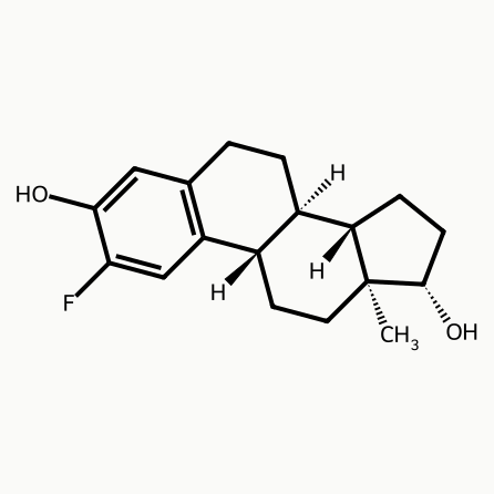 C[C@]12CC[C@@H]3c4cc(F)c(O)cc4CC[C@H]3[C@@H]1CC[C@@H]2O